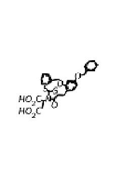 O=C(O)CC(C(=O)O)N1C(=O)C(=Cc2ccc(OCc3ccccc3)cc2OCc2ccccc2)SC1=S